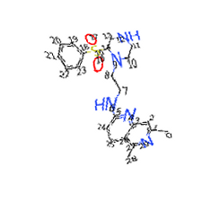 Cc1cc2nc(NCCN3CCNCC3S(=O)(=O)c3ccccc3)ccc2c(C)n1